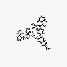 NC(CO)(CO)CO.NC(CO)(CO)CO.O=C(c1c(F)cccc1F)N(CP(=O)(O)O)c1cnc(-c2cc3oc(C4CC4)cc3cc2Cl)cn1